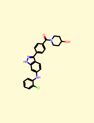 O=C(c1ccc(-c2n[nH]c3cc(Nc4ccccc4Cl)ccc23)cc1)N1CCC(O)CC1